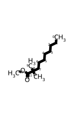 CCCCCCCCC(C)(C)C(=O)OC